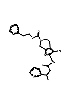 CC(CC(=O)Nc1sc2c(c1C#N)CCN(C(=O)OCCc1ccccn1)C2)c1cccnc1